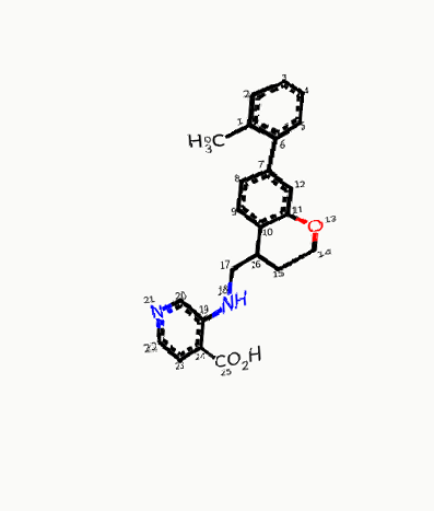 Cc1ccccc1-c1ccc2c(c1)OCCC2CNc1cnccc1C(=O)O